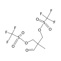 CC(C=O)(COS(=O)(=O)C(F)(F)F)COS(=O)(=O)C(F)(F)F